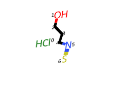 Cl.OCCCN=S